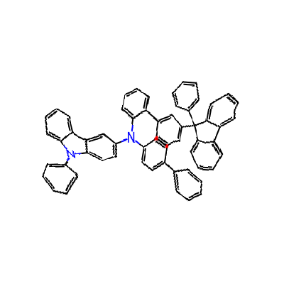 c1ccc(-c2ccc(N(c3ccc4c(c3)c3ccccc3n4-c3ccccc3)c3ccccc3-c3cccc(C4(c5ccccc5)c5ccccc5-c5ccccc54)c3)cc2)cc1